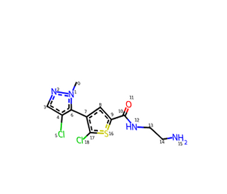 Cn1ncc(Cl)c1-c1cc(C(=O)NCCN)sc1Cl